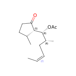 C/C=C\C[C@@H](C)[C@@H](OC(C)=O)[C@H]1C(=O)CCC1C